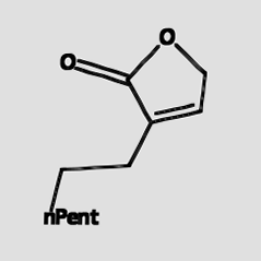 CCCCCCCC1=CCOC1=O